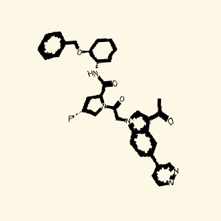 CC(=O)c1cn(CC(=O)N2C[C@H](F)CC2C(=O)N[C@H]2CCCC[C@@H]2OCc2ccccc2)c2ccc(-c3ccnnc3)cc12